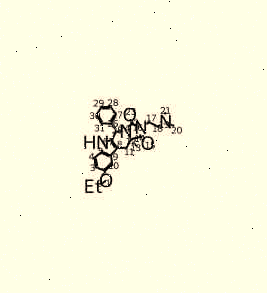 CCOc1ccc2[nH]c3c(c2c1)C[C@@]1(C)C(=O)N(CCN(C)C)C(=O)N1[C@@H]3c1ccccc1